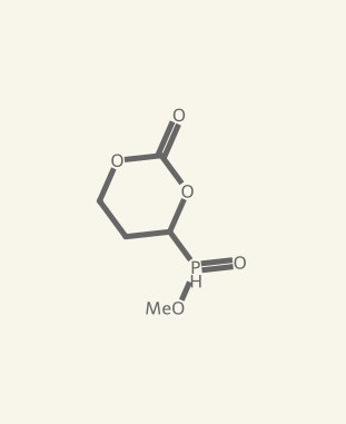 CO[PH](=O)C1CCOC(=O)O1